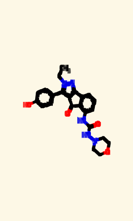 CCn1nc2c(c1-c1ccc(O)cc1)C(=O)c1c(NC(=O)NN3CCOCC3)cccc1-2